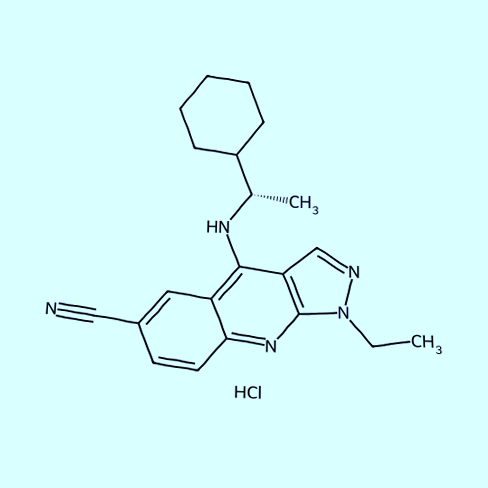 CCn1ncc2c(N[C@@H](C)C3CCCCC3)c3cc(C#N)ccc3nc21.Cl